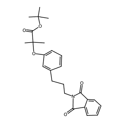 CC(C)(C)OC(=O)C(C)(C)Oc1cccc(CCCN2C(=O)c3ccccc3C2=O)c1